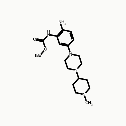 CN1CCC(N2CCN(c3ccc(N)c(NC(=O)OC(C)(C)C)c3)CC2)CC1